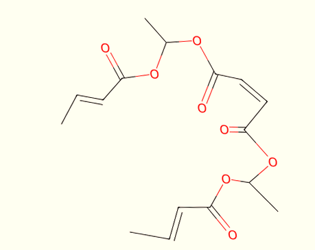 CC=CC(=O)OC(C)OC(=O)/C=C\C(=O)OC(C)OC(=O)C=CC